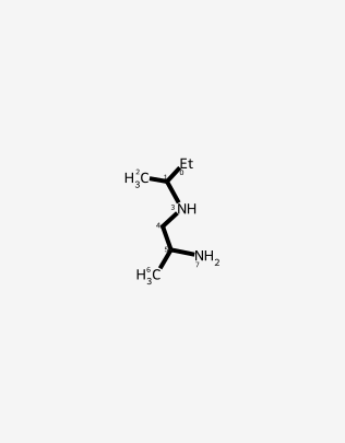 CCC(C)NCC(C)N